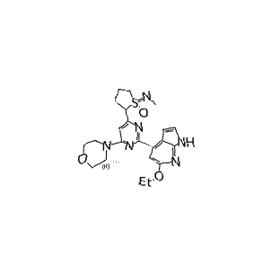 CCOc1cc(-c2nc(C3CCCS3(=O)=NC)cc(N3CCOC[C@H]3C)n2)c2cc[nH]c2n1